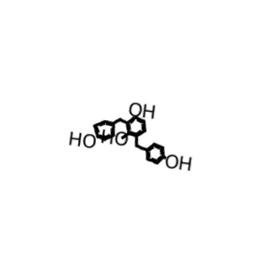 Oc1ccc(Cc2ccc(O)c(Cc3ccc(O)cc3)c2O)cc1